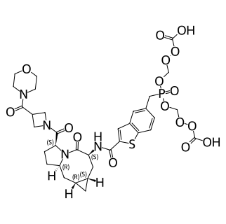 O=C(O)OOCOP(=O)(Cc1ccc2sc(C(=O)N[C@H]3C[C@@H]4C[C@@H]4C[C@H]4CC[C@@H](C(=O)N5CC(C(=O)N6CCOCC6)C5)N4C3=O)cc2c1)OCOOC(=O)O